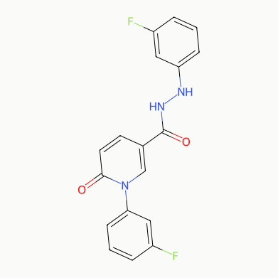 O=C(NNc1cccc(F)c1)c1ccc(=O)n(-c2cccc(F)c2)c1